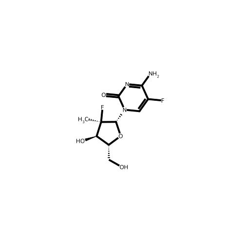 C[C@@]1(F)[C@H](O)[C@@H](CO)O[C@H]1n1cc(F)c(N)nc1=O